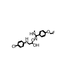 CN/C(=N\OC(O)CNc1ccc(Cl)cc1)c1ccc(OCF)cc1